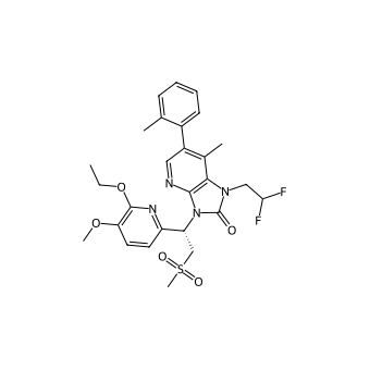 CCOc1nc([C@@H](CS(C)(=O)=O)n2c(=O)n(CC(F)F)c3c(C)c(-c4ccccc4C)cnc32)ccc1OC